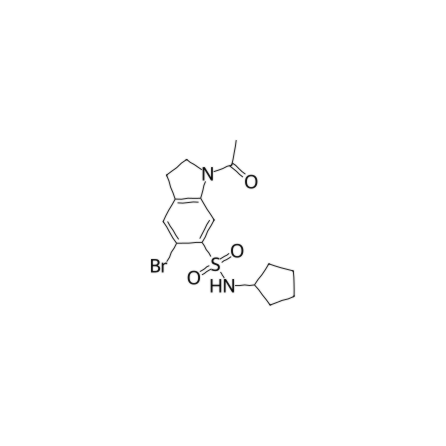 CC(=O)N1CCc2cc(Br)c(S(=O)(=O)NC3CCCC3)cc21